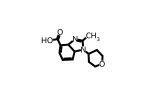 CC1=NC2C(C(=O)O)=CC=CC2N1C1CCOCC1